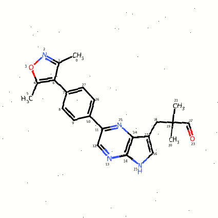 Cc1noc(C)c1-c1ccc(-c2cnc3[nH]cc(CC(C)(C)C=O)c3n2)cc1